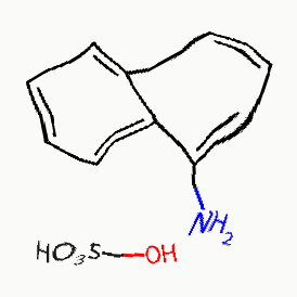 Nc1cccc2ccccc12.O=S(=O)(O)O